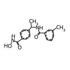 Cc1cccc(C(=O)NC(C)c2ccc(C(=O)NO)cc2)c1